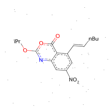 CCCC/C=C/c1cc([N+](=O)[O-])cc2nc(OC(C)C)oc(=O)c12